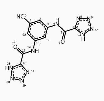 N#Cc1cc(NC(=O)c2nnn[nH]2)cc(NC(=O)c2nnn[nH]2)c1